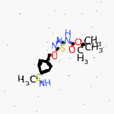 CS(=N)c1ccc(COc2nnc(NC(=O)OC(C)(C)C)s2)cc1